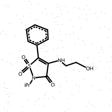 CC(C)N1C(=O)C(NCCO)=C(c2ccccc2)S1(=O)=O